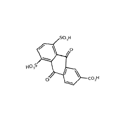 O=C(O)c1ccc2c(c1)C(=O)c1c(S(=O)(=O)O)ccc(S(=O)(=O)O)c1C2=O